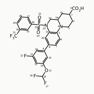 O=C(O)C1CCN2c3ccc(-c4cc(F)cc(OC(F)F)c4)cc3N(S(=O)(=O)c3cccc(C(F)(F)F)c3)CC2C1